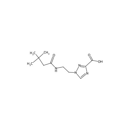 CC(C)(C)CC(=O)NCCn1cnc(C(=O)O)n1